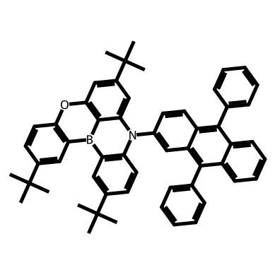 CC(C)(C)c1ccc2c(c1)B1c3cc(C(C)(C)C)ccc3N(c3ccc4c(-c5ccccc5)c5ccccc5c(-c5ccccc5)c4c3)c3cc(C(C)(C)C)cc(c31)O2